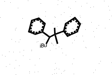 CCC(C)C(c1ccccc1)C(C)(C)c1cc[c]cc1